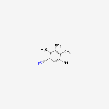 Bc1cc(C#N)c(B)c(B)c1C